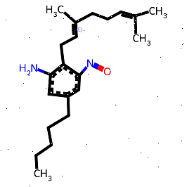 CCCCCc1cc(N)c(C/C=C(\C)CCC=C(C)C)c(N=O)c1